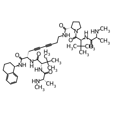 CN[C@@H](C)C(=O)N[C@H](C(=O)N[C@@H](CC#CC#CCCNC(=O)[C@@H]1CCCN1C(=O)[C@@H](NC(=O)[C@H](C)NC)C(C)(C)C)C(=O)N[C@@H]1CCCc2ccccc21)C(C)(C)C